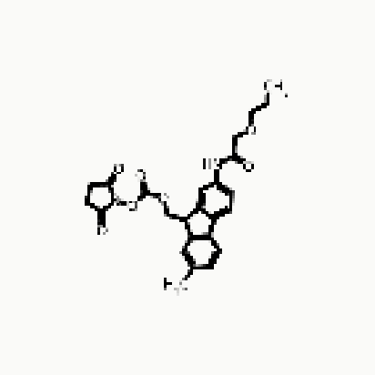 CCCOCC(=O)Nc1ccc2c(c1)C(COC(=O)ON1C(=O)CCC1=O)c1cc(C)ccc1-2